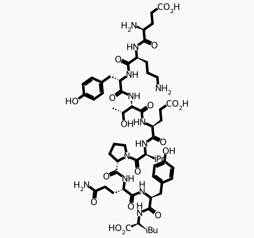 CC[C@H](C)[C@H](NC(=O)[C@H](Cc1ccc(O)cc1)NC(=O)[C@H](CCC(N)=O)NC(=O)[C@@H]1CCCN1C(=O)[C@@H](NC(=O)[C@H](CCC(=O)O)NC(=O)[C@@H](NC(=O)[C@H](Cc1ccc(O)cc1)NC(=O)[C@H](CCCN)NC(=O)[C@@H](N)CCC(=O)O)[C@@H](C)O)C(C)C)C(=O)O